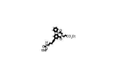 CCOC(=O)CCN1CC(=O)N(c2ccccc2)c2ccc(C#CCCCNC(=O)OC(C)(C)C)cc2C1=O